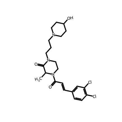 CC1C(=O)N(CCCN2CCC(O)CC2)CCN1C(=O)C=Cc1ccc(Cl)c(Cl)c1